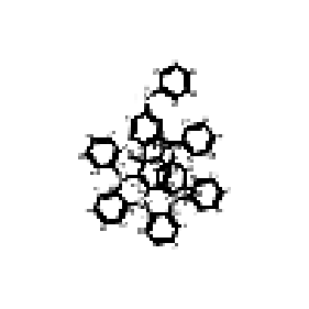 CC1C=CC=C(Nc2cc(Nc3ccccc3)ccc2C2(C)C3=C4B(c5ccccc5N(c5ccccc5)C4=CC2Bc2ccccc2)c2ccccc2N3c2ccccc2)C1